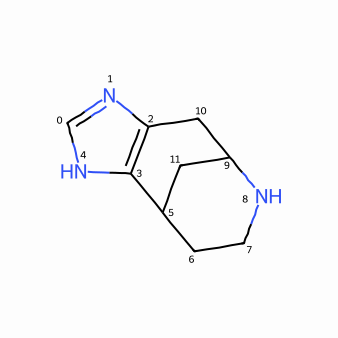 c1nc2c([nH]1)C1CCNC(C2)C1